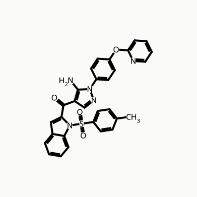 Cc1ccc(S(=O)(=O)n2c(C(=O)c3cnn(-c4ccc(Oc5ccccn5)cc4)c3N)cc3ccccc32)cc1